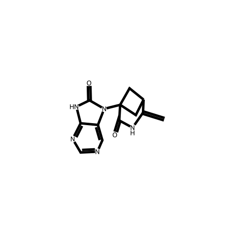 C=C1NC(=O)C2(n3c(=O)[nH]c4ncncc43)CC1C2